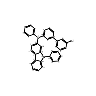 Clc1cccc(-c2cccc(N(c3ccccc3)c3ccc4c5ccccc5n(-c5ccccc5)c4c3)c2)c1